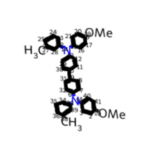 COc1ccc(N(c2ccc(-c3ccc(N(c4ccc(OC)cc4)c4cccc(C)c4)cc3)cc2)c2cccc(C)c2)cc1